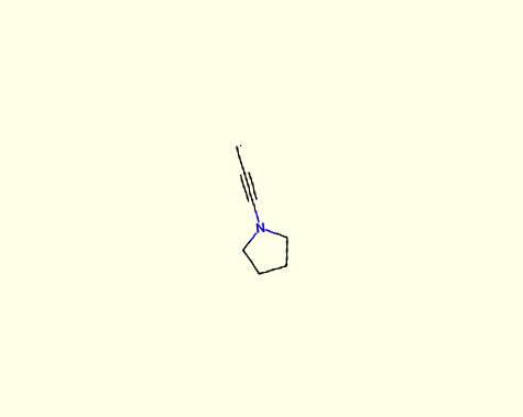 [CH2]C#CN1CCCC1